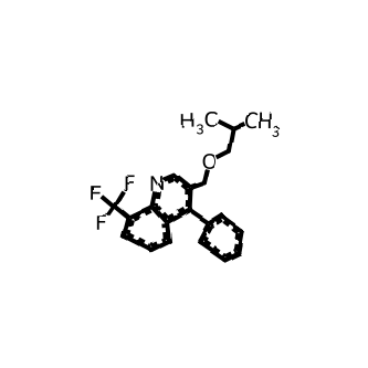 CC(C)COCc1cnc2c(C(F)(F)F)cccc2c1-c1ccccc1